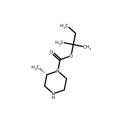 CCC(C)(C)OC(=O)N1CCNC[C@@H]1C